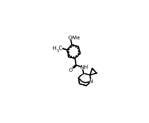 COc1ccc(C(=O)NC2C3CCN(CC3)C23CC3)cc1C